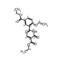 CCOC(=O)c1ccc(OCC)c(-c2ncc(C(=O)OCC)c(=O)[nH]2)c1